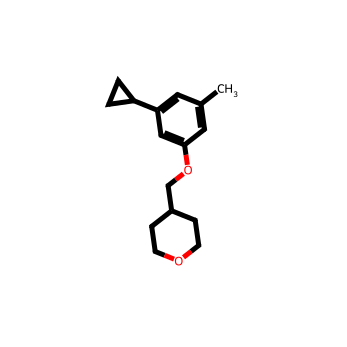 Cc1cc(OCC2CCOCC2)cc(C2CC2)c1